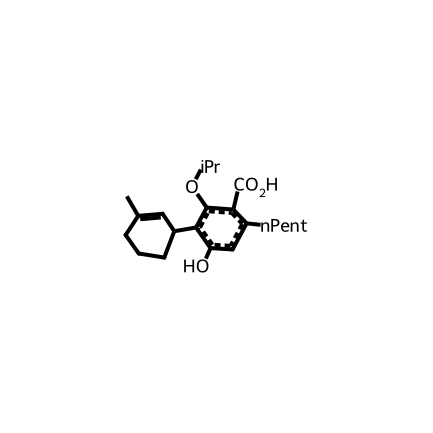 CCCCCc1cc(O)c(C2C=C(C)CCC2)c(OC(C)C)c1C(=O)O